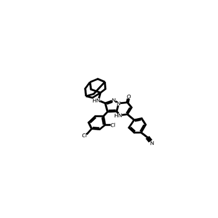 N#Cc1ccc(-c2cc(=O)n3nc(NC45CC6CC(CC(C6)C4)C5)c(-c4ccc(Cl)cc4Cl)c3[nH]2)cc1